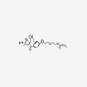 CCC(Br)(CC)C(=O)c1ccc(OCCOCCOC(C)=O)cc1